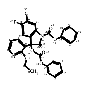 CCOc1ncccc1C1(OC(=O)Oc2ccccc2)C(=O)N(C(=O)Oc2ccccc2)c2cc(Cl)c(F)cc21